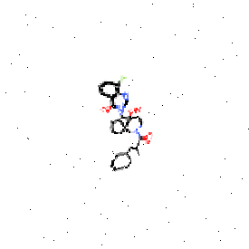 CC(CC1CCCCC1)C(=O)N1CCC(O)(Cn2cnc3c(F)cccc3c2=O)C2(CCCC2)C1